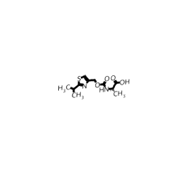 CC(C)c1nc(COC(=O)N[C@@H](C)C(=O)O)cs1